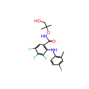 Cc1cc(I)ccc1Nc1c(C(=O)NOC(C)(C)CO)cc(F)c(F)c1F